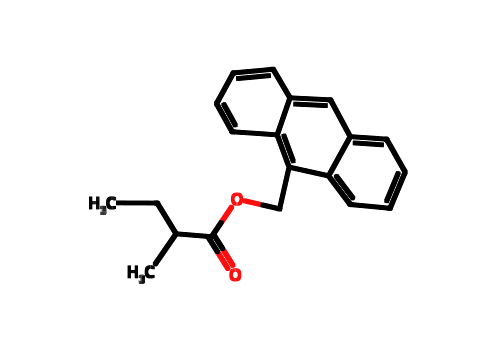 CCC(C)C(=O)OCc1c2ccccc2cc2ccccc12